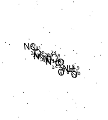 Cc1c(C(=O)NC=C2CCCO2)oc2c1-c1nn(Cc3ccc(C#N)cn3)cc1CC2